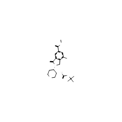 COC(=O)c1cc(F)c2c(c1)C(=O)N([C@@H]1CCOC[C@H]1NC(=O)OC(C)(C)C)C2